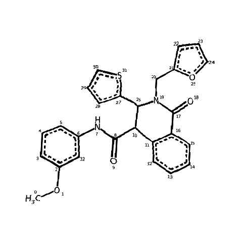 COc1cccc(NC(=O)C2c3ccccc3C(=O)N(Cc3ccco3)C2c2cccs2)c1